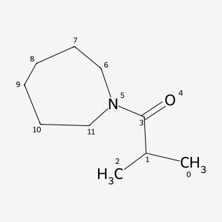 CC(C)C(=O)N1CCCCCC1